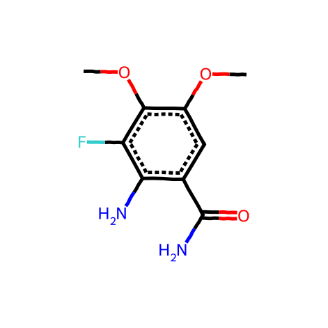 COc1cc(C(N)=O)c(N)c(F)c1OC